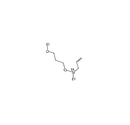 C=CC[SiH](CC)OCCCOCC